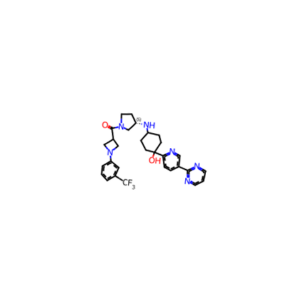 O=C(C1CN(c2cccc(C(F)(F)F)c2)C1)N1CC[C@H](NC2CCC(O)(c3ccc(-c4ncccn4)cn3)CC2)C1